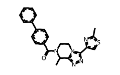 Cc1nc(-c2nnc3n2CCN(C(=O)c2ccc(-c4ccccc4)cc2)C3C)cs1